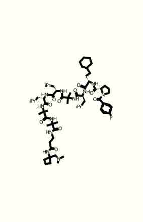 CC(C)C[C@H](NC(=O)[C@H](CCC1CCCCC1)NC(=O)[C@@H]1CCCN1C(=O)c1ccc(F)cc1)C(=O)NC(C)(C)C(=O)N[C@@H](CC(C)C)C(=O)N[C@@H](CC(C)C)C(=O)NC(C)(C)C(=O)NC(C)(C)C(=O)NCCC(=O)NC1(CN(C)C)CCC1